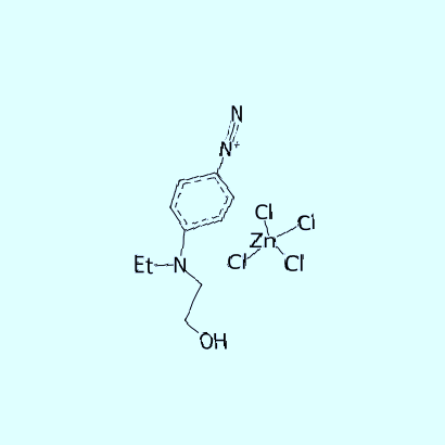 CCN(CCO)c1ccc([N+]#N)cc1.[Cl][Zn]([Cl])([Cl])[Cl]